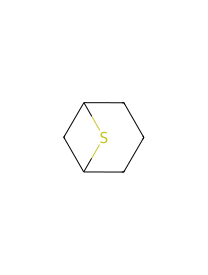 C1CC2CC(C1)S2